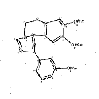 COc1cccc(-c2ncn3c2-c2cc(OC)c(OC)cc2CC3)c1